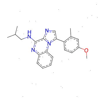 COc1ccc(-c2cnc3c(NCC(C)C)nc4ccccc4n23)c(C)c1